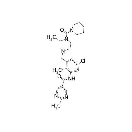 Cc1ncc(C(=O)Nc2cc(Cl)cc(CN3CCN(C(=O)N4CCCCC4)C(C)C3)c2C)cn1